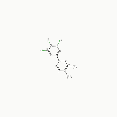 Cc1ccc(-c2cc(F)c(F)c(F)c2)cc1C(F)(F)F